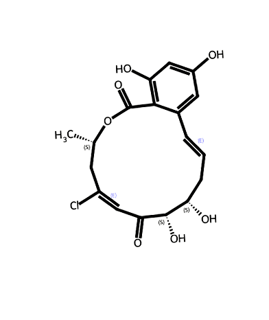 C[C@H]1C/C(Cl)=C\C(=O)[C@@H](O)[C@@H](O)C/C=C/c2cc(O)cc(O)c2C(=O)O1